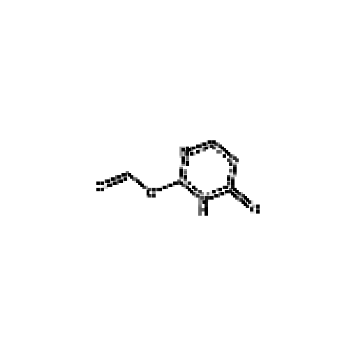 O=COc1nccc(=O)[nH]1